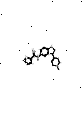 CN1CC=C(C2CNc3ccc(NC(=N)c4ccco4)cc32)CC1